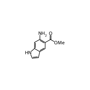 COC(=O)c1cc2cc[nH]c2cc1N